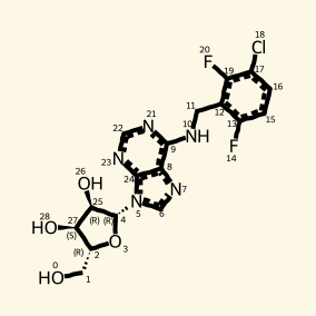 OC[C@H]1O[C@@H](n2cnc3c(NCc4c(F)ccc(Cl)c4F)ncnc32)[C@H](O)[C@@H]1O